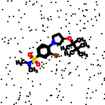 CN(C)S(=O)(=O)c1ccc(N2CC[C@@H](O[Si](C)(C)C(C)(C)C)C2)c(Br)c1